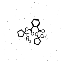 CC1(OC(=O)c2ccccc2C(=O)OC2(C)CCCC2)CCCC1